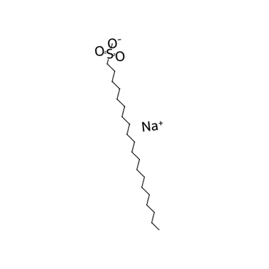 CCCCCCCCCCCCCCCCCCCCS(=O)(=O)[O-].[Na+]